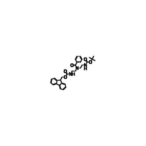 CC(C)(C)OC(=O)NCCN(CCNC(=O)OCC1c2ccccc2-c2ccccc21)C(=O)c1ccccc1